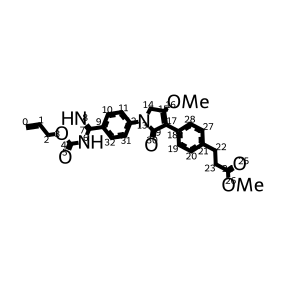 C=CCOC(=O)NC(=N)c1ccc(N2CC(OC)=C(c3ccc(CCC(=O)OC)cc3)C2=O)cc1